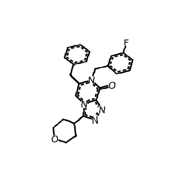 O=c1c2nnc(C3CCOCC3)n2cc(Cc2ccccc2)n1Cc1cccc(F)c1